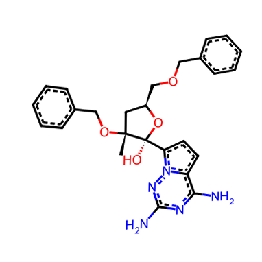 C[C@@]1(OCc2ccccc2)C[C@@H](COCc2ccccc2)O[C@@]1(O)c1ccc2c(N)nc(N)nn12